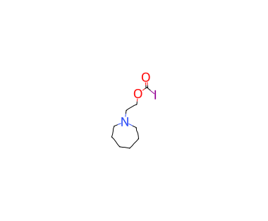 O=C(I)OCCN1CCCCCC1